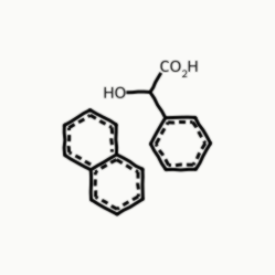 O=C(O)C(O)c1ccccc1.c1ccc2ccccc2c1